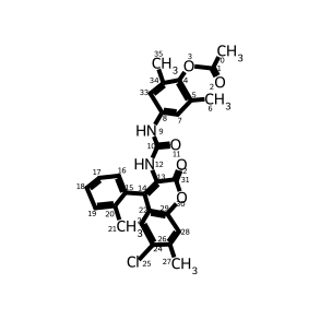 CC(=O)Oc1c(C)cc(NC(=O)Nc2c(-c3ccccc3C)c3cc(Cl)c(C)cc3oc2=O)cc1C